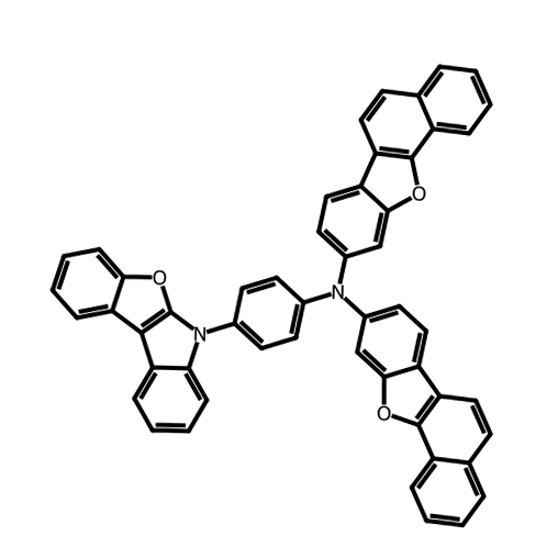 c1ccc2c(c1)ccc1c3ccc(N(c4ccc(-n5c6ccccc6c6c7ccccc7oc65)cc4)c4ccc5c(c4)oc4c6ccccc6ccc54)cc3oc21